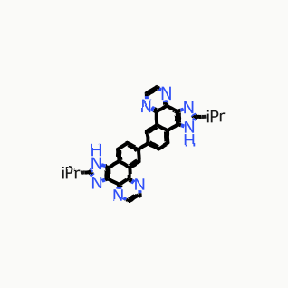 CC(C)c1nc2c3nccnc3c3cc(-c4ccc5c(c4)c4nccnc4c4nc(C(C)C)[nH]c54)ccc3c2[nH]1